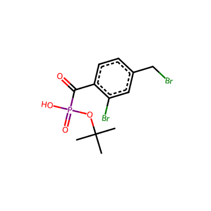 CC(C)(C)OP(=O)(O)C(=O)c1ccc(CBr)cc1Br